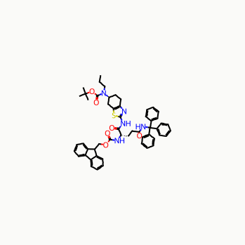 CCCN(C(=O)OC(C)(C)C)[C@H]1CCc2nc(NC(=O)[C@H](CCC(=O)NC(c3ccccc3)(c3ccccc3)c3ccccc3)NC(=O)OCC3c4ccccc4-c4ccccc43)sc2C1